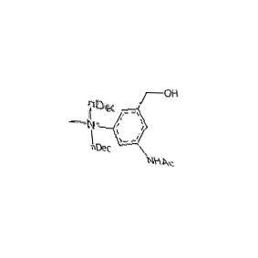 CCCCCCCCCC[N+](C)(CCCCCCCCCC)c1cc(CO)cc(NC(C)=O)c1